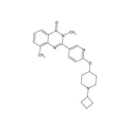 Cc1cccc2c(=O)n(C)c(-c3ccc(OC4CCN(C5CCC5)CC4)nc3)nc12